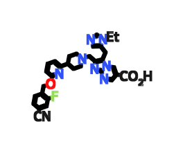 CCn1cncc1Cc1c(CN2CCC(c3cccc(OCc4ccc(C#N)cc4F)n3)CC2)nc2ncc(C(=O)O)cn12